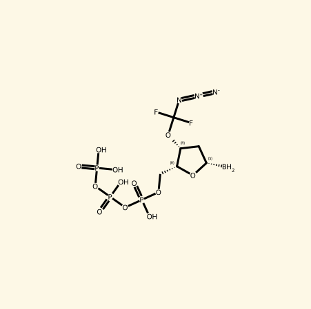 B[C@H]1C[C@@H](OC(F)(F)N=[N+]=[N-])[C@@H](COP(=O)(O)OP(=O)(O)OP(=O)(O)O)O1